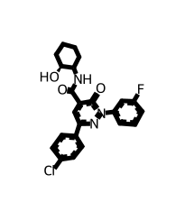 O=C(NC1CCCC[C@@H]1O)c1cc(-c2ccc(Cl)cc2)nn(-c2cccc(F)c2)c1=O